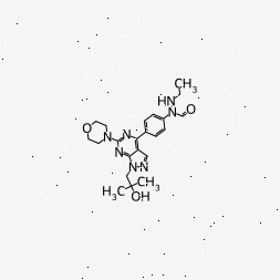 CCNN(C=O)c1ccc(-c2nc(N3CCOCC3)nc3c2cnn3CC(C)(C)O)cc1